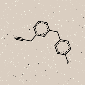 N#C[CH]c1cccc(Cc2ccc(F)cc2)c1